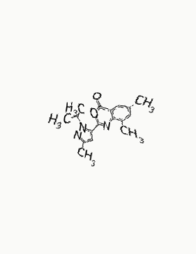 Cc1cc(C)c2nc(-c3cc(C)nn3C(C)C)oc(=O)c2c1